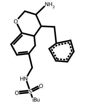 CCC(C)S(=O)(=O)NCC1=CC=C2OCC(N)C(Cc3ccccc3)C2C1